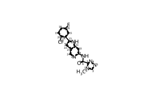 Cn1cnnc1C(=O)Nc1cc2[nH]c(-c3cc(F)ccc3C(F)(F)F)cc2cn1